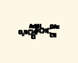 CC(=O)Nc1cc(N(CCC#N)CCOC(C)=O)ccc1N=Nc1ccc([N+](=O)[O-])cc1Cl